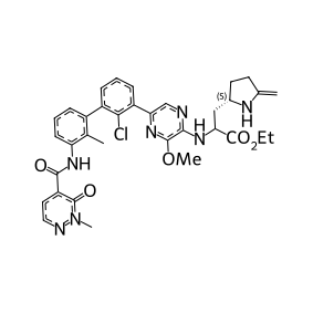 C=C1CC[C@@H](CC(Nc2ncc(-c3cccc(-c4cccc(NC(=O)c5ccnn(C)c5=O)c4C)c3Cl)nc2OC)C(=O)OCC)N1